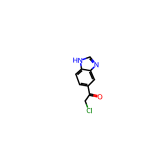 O=C(CCl)c1ccc2[nH]cnc2c1